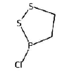 ClP1CCSS1